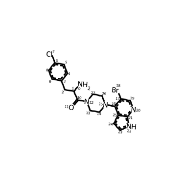 NC(Cc1ccc(Cl)cc1)C(=O)N1CCN(c2c(Br)cnc3[nH]ccc23)CC1